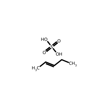 CC=CCC.O=S(=O)(O)O